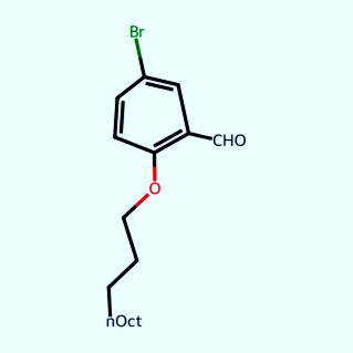 CCCCCCCCCCCOc1ccc(Br)cc1C=O